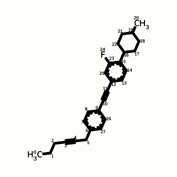 CCCC#CCc1ccc(C#Cc2ccc(C3CCC(C)CC3)c(F)c2)cc1